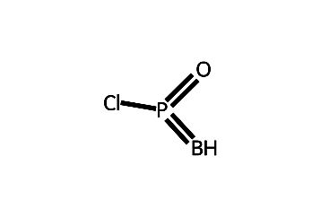 B=P(=O)Cl